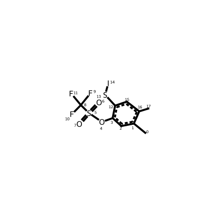 Cc1cc(OS(=O)(=O)C(F)(F)F)c(SI)cc1C